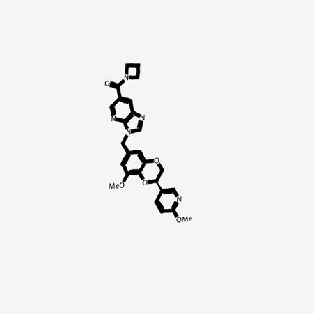 COc1ccc([C@@H]2COc3cc(Cn4cnc5cc(C(=O)N6CCC6)cnc54)cc(OC)c3O2)cn1